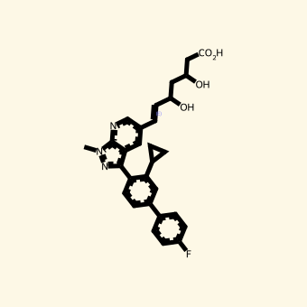 Cn1nc(-c2ccc(-c3ccc(F)cc3)cc2C2CC2)c2cc(/C=C/C(O)CC(O)CC(=O)O)cnc21